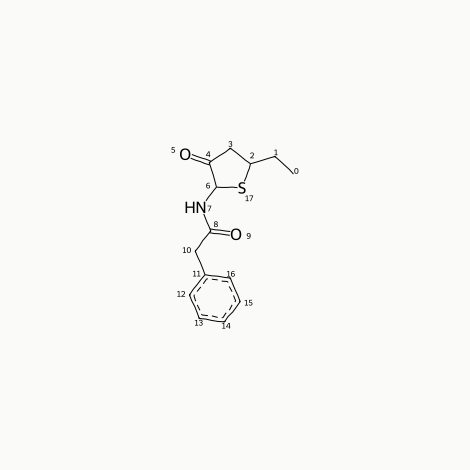 CCC1CC(=O)C(NC(=O)Cc2ccccc2)S1